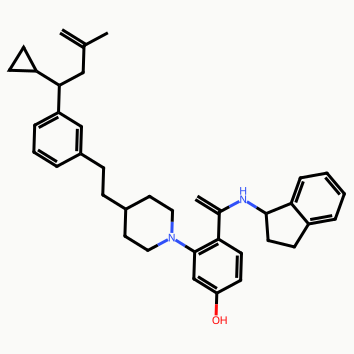 C=C(C)CC(c1cccc(CCC2CCN(c3cc(O)ccc3C(=C)NC3CCc4ccccc43)CC2)c1)C1CC1